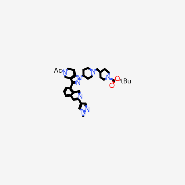 CC(=O)N1CCc2c(c(-c3cccc4cc(-c5cnn(C)c5)ncc34)nn2C2CCN(CC3CCN(C(=O)OC(C)(C)C)CC3)CC2)C1